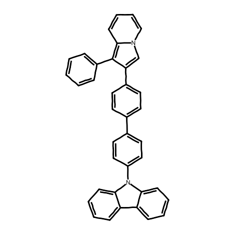 c1ccc(-c2c(-c3ccc(-c4ccc(-n5c6ccccc6c6ccccc65)cc4)cc3)cn3ccccc23)cc1